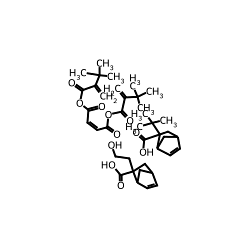 C=C(C(=O)OC(=O)/C=C\C(=O)OC(=O)C(=C)C(C)(C)C)C(C)(C)C.CC(C)(C)C1(C(=O)O)CC2C=CC1C2.O=C(O)C1(CCO)CC2C=CC1C2